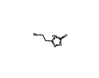 CC(C)(C)CCc1noc(=O)[nH]1